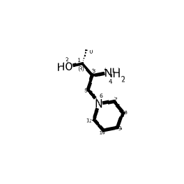 C[C@@H](O)C(N)CN1CCCCC1